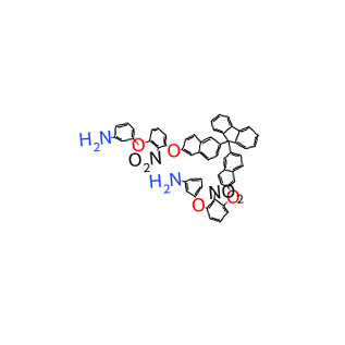 Nc1cccc(Oc2cccc(Oc3ccc4cc(C5(c6ccc7cc(Oc8cccc(Oc9cccc(N)c9)c8[N+](=O)[O-])ccc7c6)c6ccccc6-c6ccccc65)ccc4c3)c2[N+](=O)[O-])c1